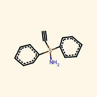 C#CS(N)(c1ccccc1)c1ccccc1